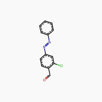 O=Cc1ccc(N=Nc2ccccc2)cc1Cl